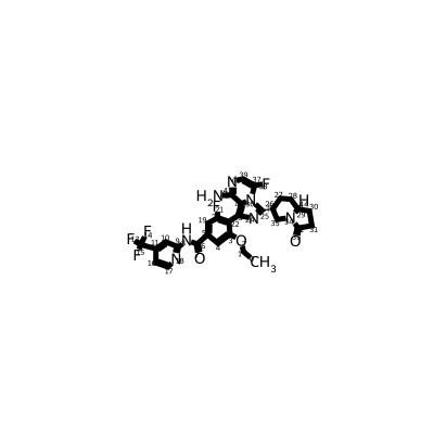 CCOc1cc(C(=O)Nc2cc(C(F)(F)F)ccn2)cc(F)c1-c1nc([C@@H]2CC[C@H]3CCC(=O)N3C2)n2c(F)cnc(N)c12